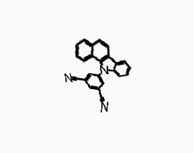 N#Cc1cc(C#N)cc(-n2c3ccccc3c3ccc4ccccc4c32)c1